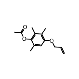 C=CCOc1cc(C)c(OC(C)=O)c(C)c1C